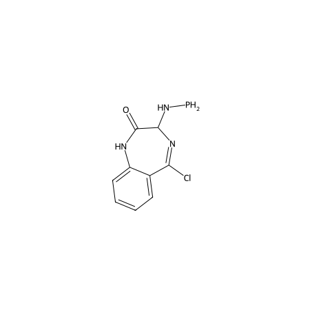 O=C1Nc2ccccc2C(Cl)=NC1NP